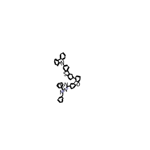 N/C(=N\C(=N/Cc1ccccc1)c1ccccc1)c1ccc2oc3cccc(-c4ccc5sc6cc(-n7c8ccccc8c8ccccc87)ccc6c5c4)c3c2c1